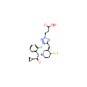 O=C(O)CCn1nnc(/C=C2\CN(C(C(=O)C3CC3)c3ccccc3F)CCC2S)n1